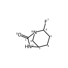 O=C1NC2CCC(F)N1C2